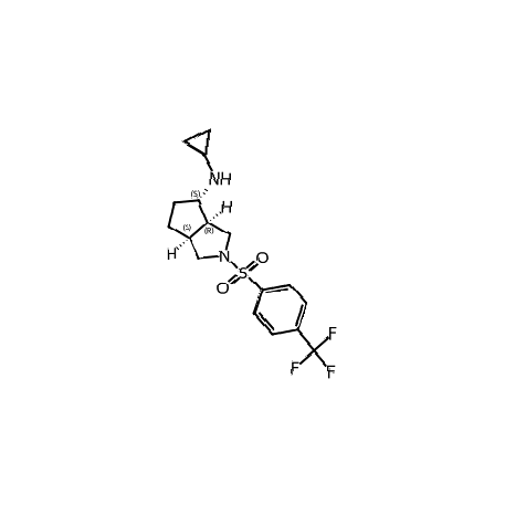 O=S(=O)(c1ccc(C(F)(F)F)cc1)N1C[C@H]2CC[C@H](NC3CC3)[C@H]2C1